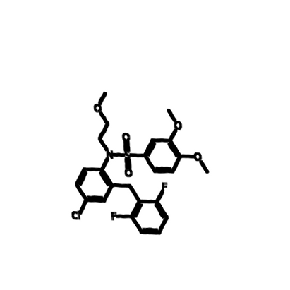 COCCN(c1ccc(Cl)cc1Cc1c(F)cccc1F)S(=O)(=O)c1ccc(OC)c(OC)c1